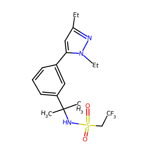 CCc1cc(-c2cccc(C(C)(C)NS(=O)(=O)CC(F)(F)F)c2)n(CC)n1